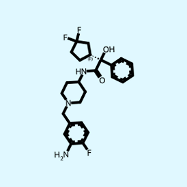 Nc1cc(CN2CCC(NC(=O)C(O)(c3ccccc3)[C@@H]3CCC(F)(F)C3)CC2)ccc1F